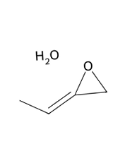 CC=C1CO1.O